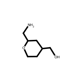 NCC1CC(CO)CCO1